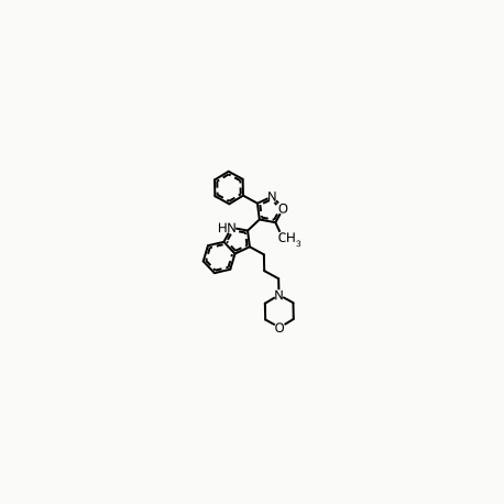 Cc1onc(-c2ccccc2)c1-c1[nH]c2ccccc2c1CCCN1CCOCC1